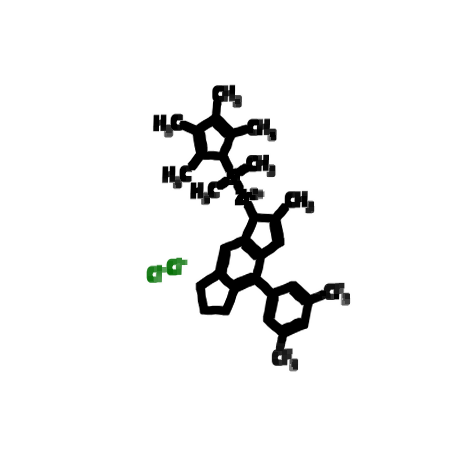 CC1=Cc2c(cc3c(c2-c2cc(C(F)(F)F)cc(C(F)(F)F)c2)CCC3)[CH]1[Zr+2][Si](C)(C)C1C(C)=C(C)C(C)=C1C.[Cl-].[Cl-]